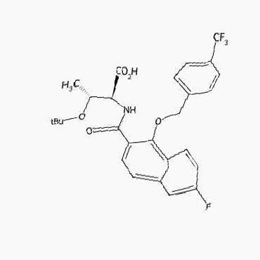 C[C@@H](OC(C)(C)C)[C@H](NC(=O)c1ccc2cc(F)ccc2c1OCc1ccc(C(F)(F)F)cc1)C(=O)O